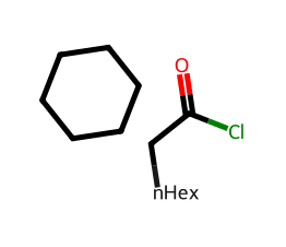 C1CCCCC1.CCCCCCCC(=O)Cl